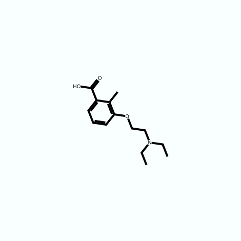 CCN(CC)CCOc1cccc(C(=O)O)c1C